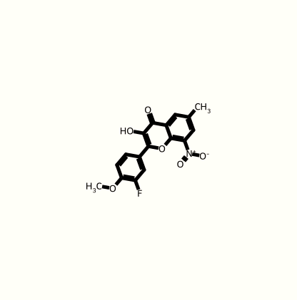 COc1ccc(-c2oc3c([N+](=O)[O-])cc(C)cc3c(=O)c2O)cc1F